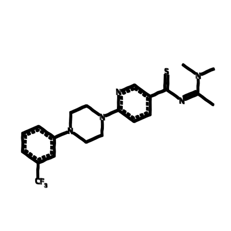 CC(=NC(=S)c1ccc(N2CCN(c3cccc(C(F)(F)F)c3)CC2)nc1)N(C)C